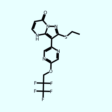 CCSc1nn2c(=O)cc[nH]c2c1-c1cnc(OCC(F)(F)C(F)(F)F)cn1